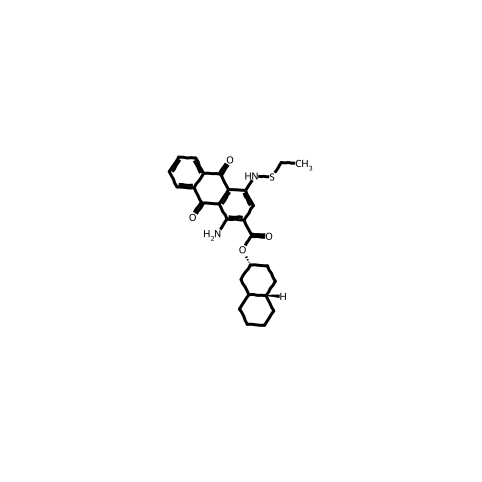 CCSNc1cc(C(=O)O[C@@H]2CC[C@@H]3CCCCC3C2)c(N)c2c1C(=O)c1ccccc1C2=O